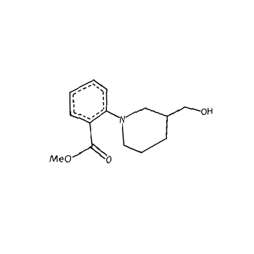 COC(=O)c1ccccc1N1CCCC(CO)C1